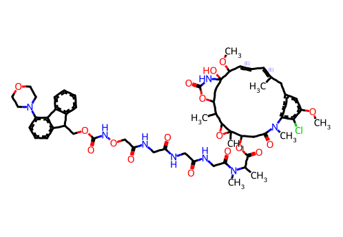 COc1cc2cc(c1Cl)N(C)C(=O)CC(OC(=O)C(C)N(C)C(=O)CNC(=O)CNC(=O)CNC(=O)CONC(=O)OCC1c3ccccc3-c3c1cccc3N1CCOCC1)C1(C)OC1C(C)C1CC(O)(NC(=O)O1)C(OC)/C=C/C=C(\C)C2